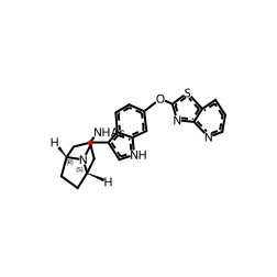 CC(=O)NC1C[C@H]2CC[C@@H](C1)N2Cc1c[nH]c2cc(Oc3nc4ncccc4s3)ccc12